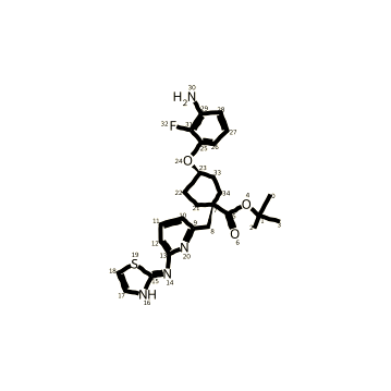 CC(C)(C)OC(=O)[C@]1(Cc2cccc(/N=c3/[nH]ccs3)n2)CC[C@@H](Oc2cccc(N)c2F)CC1